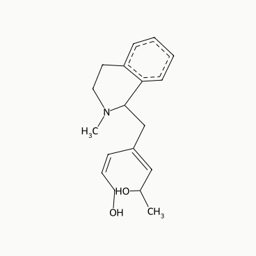 CC(O)/C=C(\C=C/CO)CC1c2ccccc2CCN1C